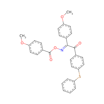 COc1ccc(C(=O)O/N=C(/C(=O)c2ccc(Sc3ccccc3)cc2)c2ccc(OC)cc2)cc1